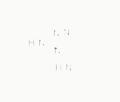 Nc1nnc2cccc(N)c2n1